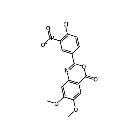 COc1cc2nc(-c3ccc(Cl)c([N+](=O)[O-])c3)oc(=O)c2cc1OC